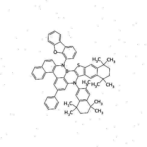 Cc1cc2c(cc1N1c3cc(-c4ccccc4)cc4c3B(c3sc5cc6c(cc5c31)C(C)(C)CCC6(C)C)N(c1cccc3c1oc1ccccc13)c1ccc3ccccc3c1-4)C(C)(C)CCC2(C)C